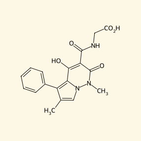 Cc1cn2c(c(O)c(C(=O)NCC(=O)O)c(=O)n2C)c1-c1ccccc1